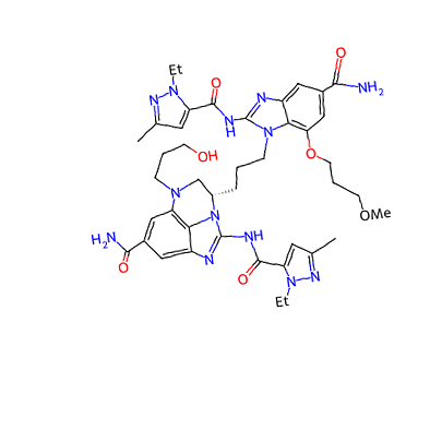 CCn1nc(C)cc1C(=O)Nc1nc2cc(C(N)=O)cc(OCCCOC)c2n1CCC[C@H]1CN(CCCO)c2cc(C(N)=O)cc3nc(NC(=O)c4cc(C)nn4CC)n1c23